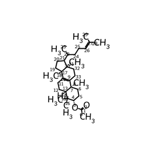 CC(=O)O[C@H]1CC[C@]2(C)C3=C(CC[C@H]2C1(C)C)[C@]1(C)CCC(C(C)CCC=C(C)C)[C@@]1(C)CC3